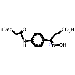 CCCCCCCCCCCC(=O)Nc1ccc(/C(CCC(=O)O)=N/O)cc1